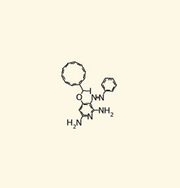 Nc1cc(OC(I)c2ccccccccc2)c(/N=N/c2ccccc2)c(N)n1